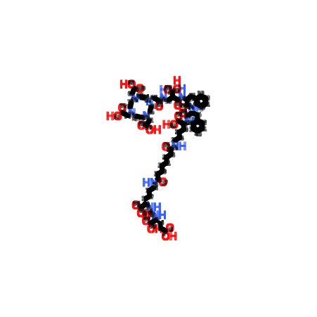 O=C(O)CC[C@H](NC(=O)N[C@@H](CCCCNC(=O)CCCCCCC(=O)NCCCCC(NC(=O)C(Cc1ccccc1)NC(=O)C(Cc1ccccc1)NC(=O)C(CNC(=O)CN1/C=C\N(CC(=O)O)CCN(CC(=O)O)CCN(CC(=O)O)CC1)C(=O)O)C(=O)O)C(=O)O)C(=O)O